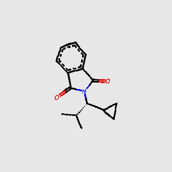 CC(C)[C@@H](C1CC1)N1C(=O)c2ccccc2C1=O